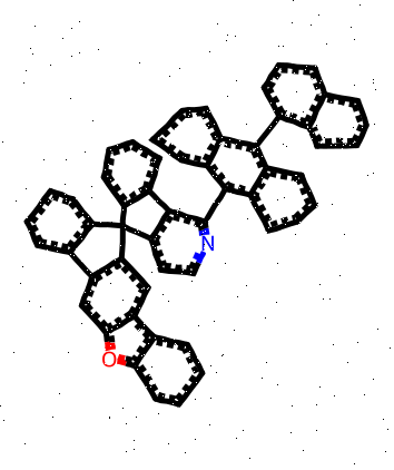 c1ccc2c(c1)-c1cc3oc4ccccc4c3cc1C21c2ccccc2-c2c1ccnc2-c1c2ccccc2c(-c2cccc3ccccc23)c2ccccc12